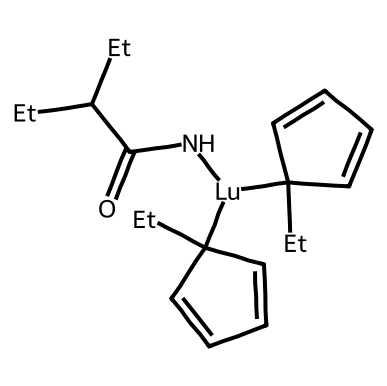 CCC(CC)C(=O)[NH][Lu]([C]1(CC)C=CC=C1)[C]1(CC)C=CC=C1